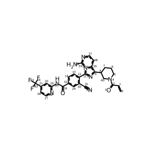 C=CC(=O)N1CCCC(c2nc(-c3ccc(C(=O)Nc4cc(C(F)(F)F)ccn4)cc3C#N)n3c(N)nccc23)C1